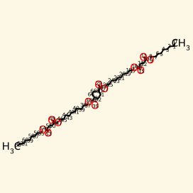 CCCCCCCCCOC(=O)CCC(=O)OCCCCCCCCCCOC(=O)C1CCC(C(=O)OCCCCCCCCCCOC(=O)CCC(=O)OCCCCCCCCC)CC1